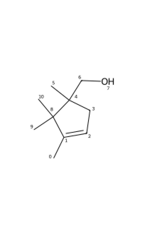 CC1=CCC(C)(CO)C1(C)C